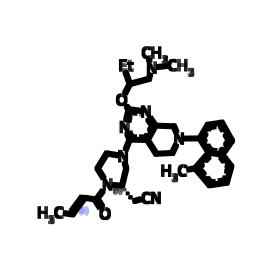 C/C=C/C(=O)N1CCN(c2nc(OC(CC)CN(C)C)nc3c2CCN(c2cccc4cccc(C)c24)C3)C[C@@H]1CC#N